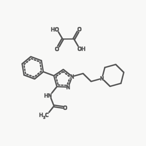 CC(=O)Nc1nn(CCN2CCCCC2)cc1-c1ccccc1.O=C(O)C(=O)O